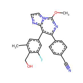 COc1nc(-c2ccc(C#N)cc2)c(-c2cc(C)c(CO)c(F)c2)c2nccn12